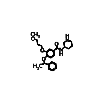 COCCCOc1cc(C(=O)N[C@@H]2CCCNC2)ccc1OC(C)c1ccccc1